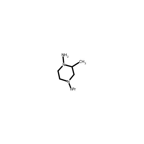 CCCN1CCN(N)C(C)C1